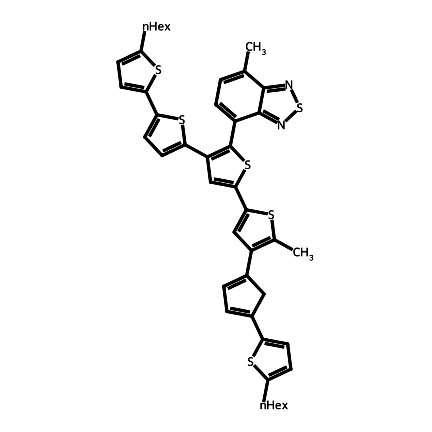 CCCCCCc1ccc(C2=CC=C(c3cc(-c4cc(-c5ccc(-c6ccc(CCCCCC)s6)s5)c(-c5ccc(C)c6nsnc56)s4)sc3C)C2)s1